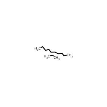 C[CH]C.[CH2]CCCCCCCCC